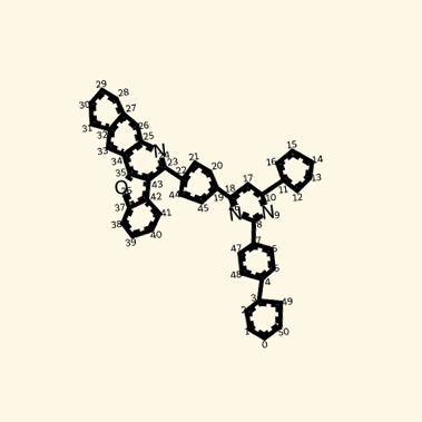 c1ccc(-c2ccc(-c3nc(-c4ccccc4)cc(-c4ccc(-c5nc6cc7ccccc7cc6c6oc7ccccc7c56)cc4)n3)cc2)cc1